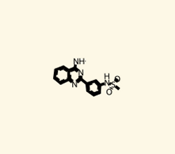 CS(=O)(=O)Nc1cccc(-c2nc([NH])c3ccccc3n2)c1